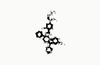 C=N/N=C\N(C)c1ccc(C(=O)N[C@]2(c3ccccc3)CCc3c(-c4cncnc4)c4cc(C)ccc4n3C2)c(Cl)c1